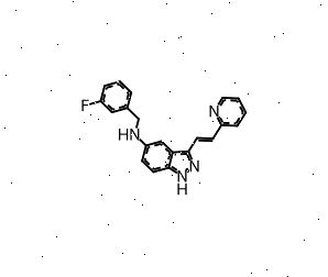 Fc1cccc(CNc2ccc3[nH]nc(C=Cc4ccccn4)c3c2)c1